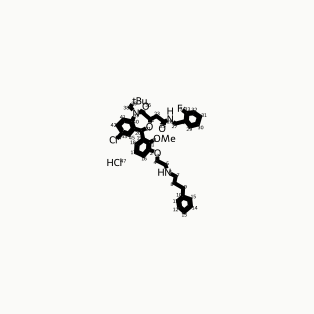 COc1c(OCCNCCCc2ccccc2)cccc1C1OC(CC(=O)NCc2ccccc2F)C(=O)N(CC(C)(C)C)c2ccc(Cl)cc21.Cl